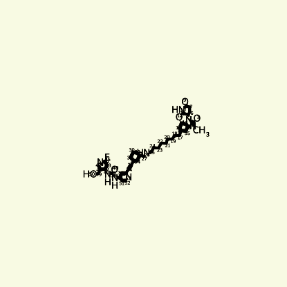 Cn1c(=O)n(C2CCC(=O)NC2=O)c2ccc(CCCCCCCCCNCc3cccc(C#Cc4cc(NC(=O)Nc5cc(F)ncc5CO)ccn4)c3)cc21